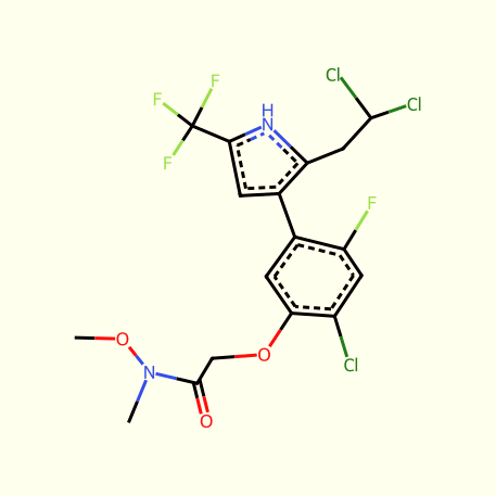 CON(C)C(=O)COc1cc(-c2cc(C(F)(F)F)[nH]c2CC(Cl)Cl)c(F)cc1Cl